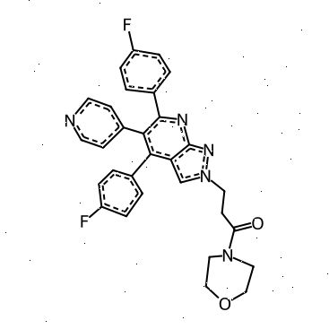 O=C(CCn1cc2c(-c3ccc(F)cc3)c(-c3ccncc3)c(-c3ccc(F)cc3)nc2n1)N1CCOCC1